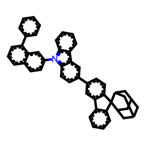 c1ccc(-c2cccc3ccc(-n4c5ccccc5c5cc(-c6ccc7c(c6)-c6ccccc6C76C7CC8CC(C7)CC6C8)ccc54)cc23)cc1